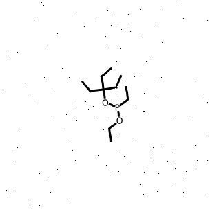 CCOP(CC)OC(CC)(CC)CC